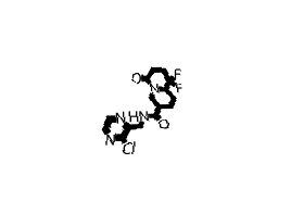 O=C(NCc1nccnc1Cl)C1CCC2N(C1)C(=O)CCC2(F)F